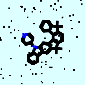 CC1(C)c2ccccc2-c2c1ccc1c2-c2cc3c(cc2C1(C)C)c1ccccc1n3-c1ccncc1